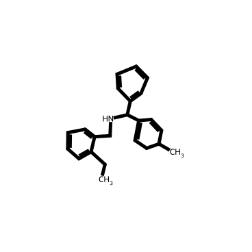 CCc1ccccc1CNC(C1=CCC(C)C=C1)c1ccccc1